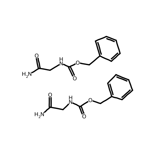 NC(=O)CNC(=O)OCc1ccccc1.NC(=O)CNC(=O)OCc1ccccc1